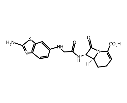 Nc1nc2ccc(NCC(=O)N[C@@H]3C(=O)N4C(C(=O)O)=CCC[C@@H]34)cc2s1